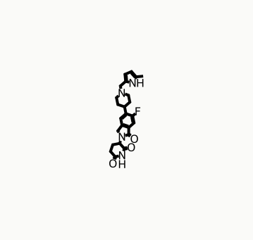 Cc1ccc(CN2CCC(c3cc4c(cc3F)C(=O)N(C3CCC(=O)NC3=O)C4)CC2)[nH]1